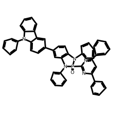 O=P1(c2nc(-c3ccccc3)cc(-c3ccccc3)n2)N(c2ccccc2)c2ccc(-c3ccc4c(c3)c3ccccc3n4-c3ccccc3)cc2N1c1ccccc1